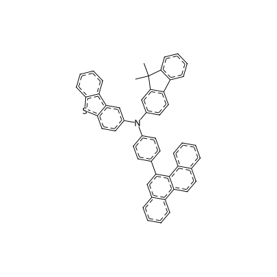 CC1(C)c2ccccc2-c2ccc(N(c3ccc(-c4cc5ccccc5c5ccc6ccccc6c45)cc3)c3ccc4sc5ccccc5c4c3)cc21